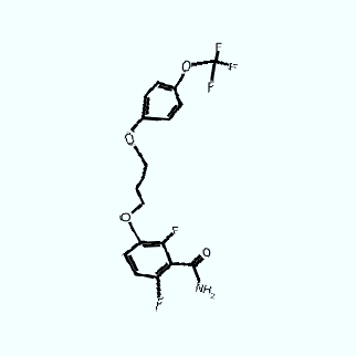 NC(=O)c1c(F)ccc(OCCCOc2ccc(OC(F)(F)F)cc2)c1F